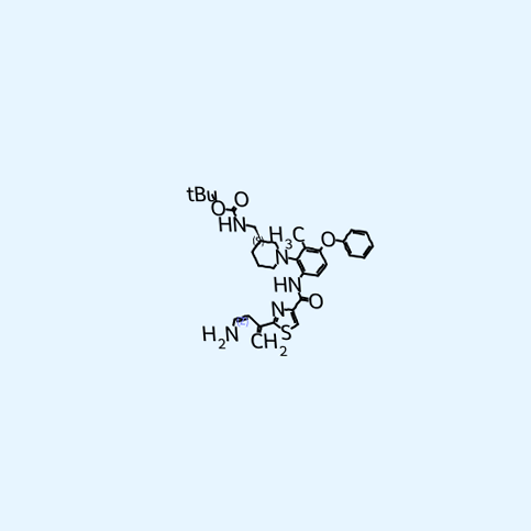 C=C(/C=C\N)c1nc(C(=O)Nc2ccc(Oc3ccccc3)c(C)c2N2CCC[C@@H](CNC(=O)OC(C)(C)C)C2)cs1